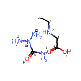 CCNCC(=O)O.NC(=O)N(N)N